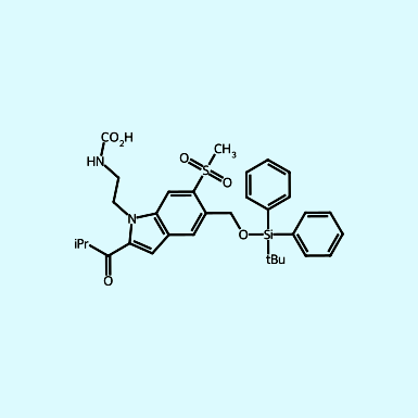 CC(C)C(=O)c1cc2cc(CO[Si](c3ccccc3)(c3ccccc3)C(C)(C)C)c(S(C)(=O)=O)cc2n1CCNC(=O)O